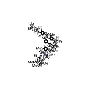 CCOP(=O)(NC(C)C)Oc1ccc(SC)c(C)c1.CCOP(=S)(OCC)Oc1cc(-c2ccccc2)on1.CCOP(=S)(OCC)SCCSCC.CCOP(=S)(OCC)SCSP(=S)(OCC)OCC.CNC(=O)CSP(=S)(OC)OC.COP(=O)(OC)O/C(C)=C/C(=O)N(C)C.COP(=S)(OC)Oc1ccc(SC)c(C)c1.COP(=S)(OC)Oc1ccc([N+](=O)[O-])c(C)c1